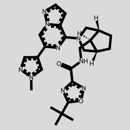 Cn1cc(-c2cn3nccc3c(N3C[C@H]4CC[C@@H](C3)[C@@H]4CNC(=O)c3noc(C(C)(C)C)n3)n2)cn1